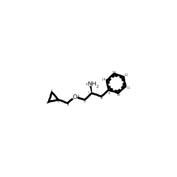 N[C@H](COCC1CC1)Cc1ccccc1